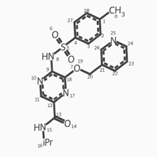 Cc1ccc(S(=O)(=O)Nc2ncc(C(=O)NC(C)C)nc2OCc2cccnc2)cc1